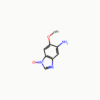 CCCOc1cc2c(cc1N)N=C[NH+]2[O-]